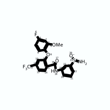 COc1cc(F)ccc1Oc1cc(C(F)(F)F)ccc1C(=O)Nc1cccc([S+](N)[O-])c1